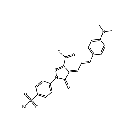 CN(C)c1ccc(C=CC=C2C(=O)N(c3ccc(S(=O)(=O)O)cc3)N=C2C(=O)O)cc1